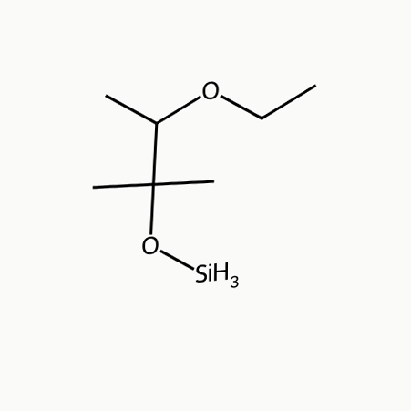 CCOC(C)C(C)(C)O[SiH3]